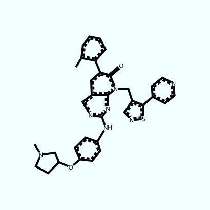 Cc1ccccc1-c1cc2cnc(Nc3ccc(OC4CCN(C)C4)cc3)nc2n(Cc2cnsc2-c2ccncc2)c1=O